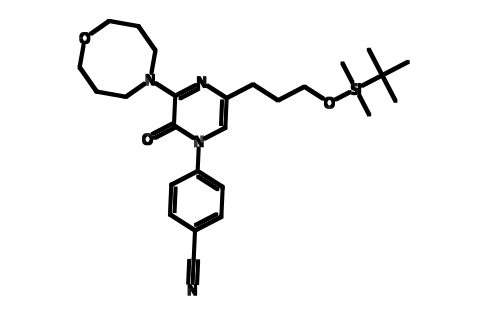 CC(C)(C)[Si](C)(C)OCCCc1cn(-c2ccc(C#N)cc2)c(=O)c(N2CCCOCCC2)n1